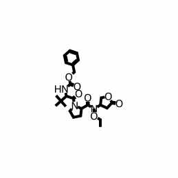 CCON(C(=O)C1CCCN1C(=O)C(NC(=O)OCc1ccccc1)C(C)(C)C)C1COC(=O)C1